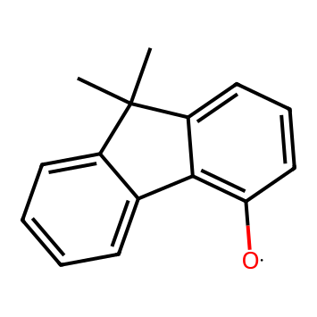 CC1(C)c2ccccc2-c2c([O])cccc21